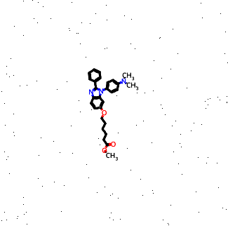 COC(=O)CCCCCOc1ccc2nc(-c3ccccc3)n(-c3ccc(N(C)C)cc3)c2c1